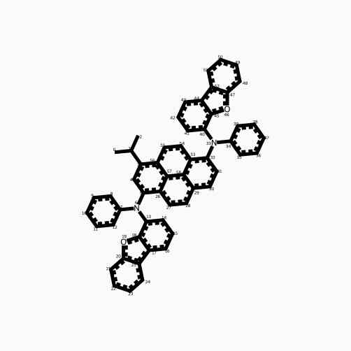 CC(C)c1cc(N(c2ccccc2)c2cccc3c2oc2ccccc23)c2ccc3ccc(N(c4ccccc4)c4cccc5c4oc4ccccc45)c4ccc1c2c34